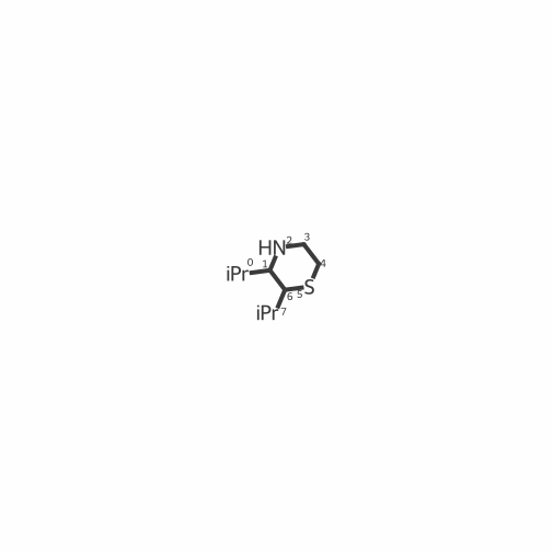 CC(C)C1NCCSC1C(C)C